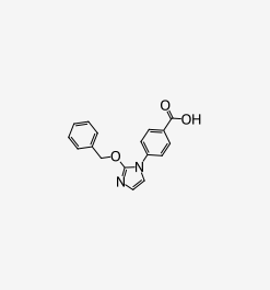 O=C(O)c1ccc(-n2ccnc2OCc2ccccc2)cc1